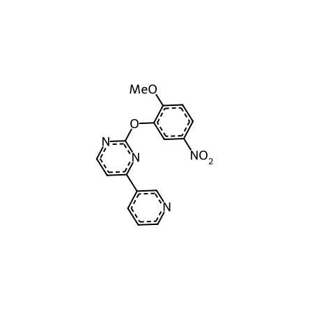 COc1ccc([N+](=O)[O-])cc1Oc1nccc(-c2cccnc2)n1